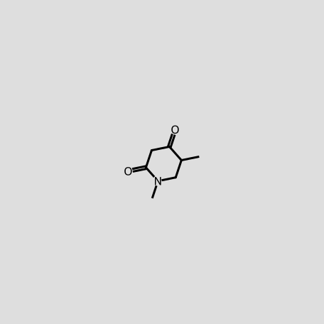 CC1CN(C)C(=O)CC1=O